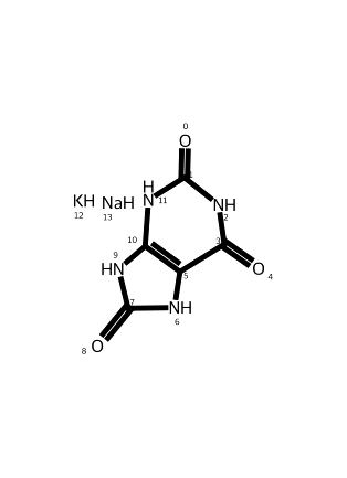 O=c1[nH]c(=O)c2[nH]c(=O)[nH]c2[nH]1.[KH].[NaH]